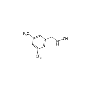 N#CNCc1cc(C(F)(F)F)cc(C(F)(F)F)c1